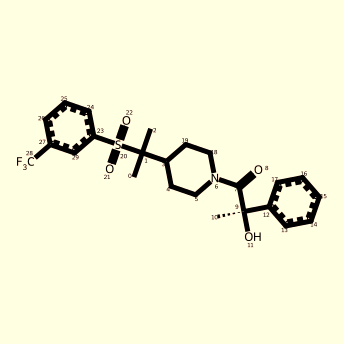 CC(C)(C1CCN(C(=O)[C@](C)(O)c2ccccc2)CC1)S(=O)(=O)c1cccc(C(F)(F)F)c1